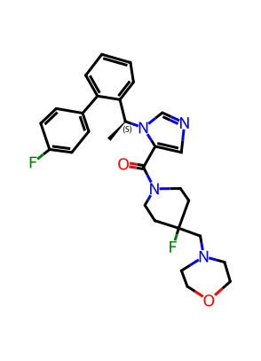 C[C@@H](c1ccccc1-c1ccc(F)cc1)n1cncc1C(=O)N1CCC(F)(CN2CCOCC2)CC1